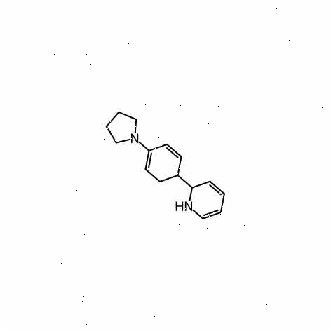 C1=CNC(C2C=CC(N3CCCC3)=CC2)C=C1